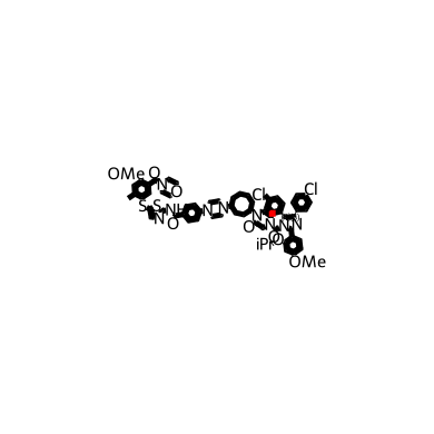 COc1ccc(C2=N[C@@H](c3ccc(Cl)cc3)[C@@H](c3ccc(Cl)cc3)N2C(=O)N2CCN(C3CCCCC(N4CCN(c5ccc(C(=O)Nc6ncc(Sc7cc(C(=O)N8CCOCC8)c(OC)cc7C)s6)cc5)CC4)CC3)C(=O)C2)c(OC(C)C)c1